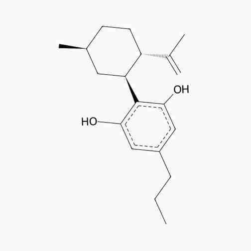 C=C(C)[C@H]1CC[C@H](C)C[C@@H]1c1c(O)cc(CCC)cc1O